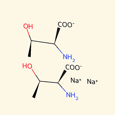 C[C@@H](O)[C@H](N)C(=O)[O-].C[C@@H](O)[C@H](N)C(=O)[O-].[Na+].[Na+]